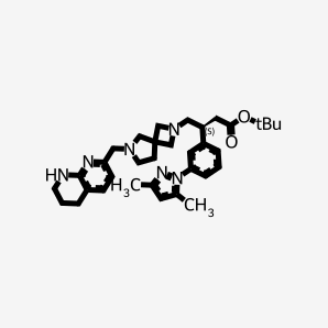 Cc1cc(C)n(-c2cccc([C@H](CC(=O)OC(C)(C)C)CN3CC4(CCN(Cc5ccc6c(n5)NCCC6)C4)C3)c2)n1